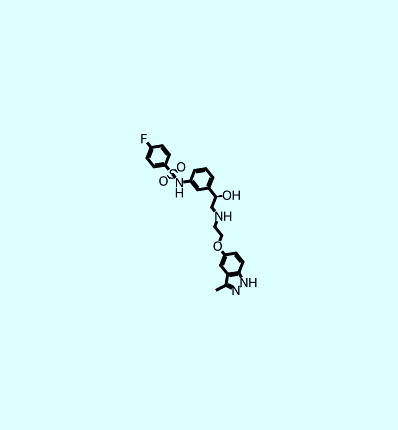 Cc1n[nH]c2ccc(OCCNC[C@H](O)c3cccc(NS(=O)(=O)c4ccc(F)cc4)c3)cc12